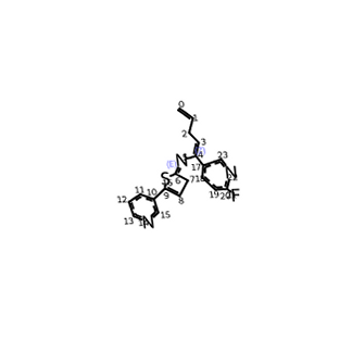 C=CC/C=C(\N=C1/CC=C(c2cccnc2)S1)c1ccc(F)nc1